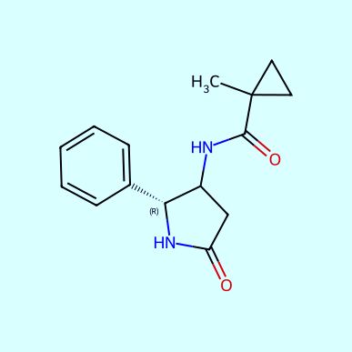 CC1(C(=O)NC2CC(=O)N[C@@H]2c2ccccc2)CC1